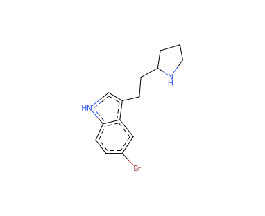 Brc1ccc2[nH]cc(CCC3CCCN3)c2c1